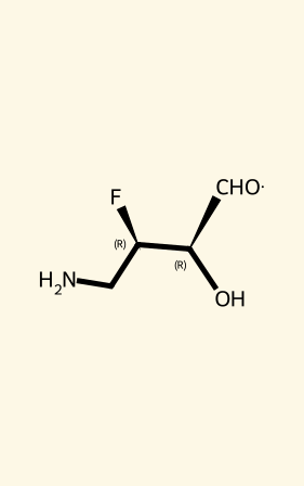 NC[C@@H](F)[C@H](O)[C]=O